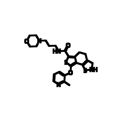 Cc1ncccc1Oc1sc(C(=O)NCCCN2CCOCC2)c2c1C1=C(CC2)CNS1